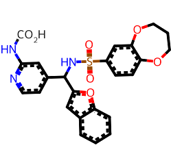 O=C(O)Nc1cc(C(NS(=O)(=O)c2ccc3c(c2)OCCCO3)c2cc3ccccc3o2)ccn1